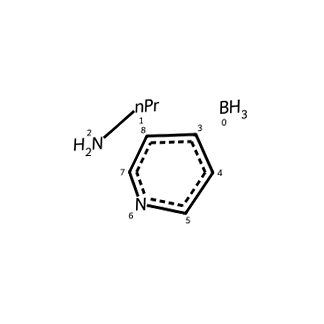 B.CCCN.c1ccncc1